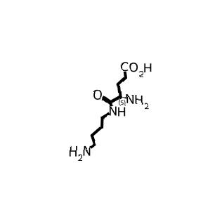 NCCCCNC(=O)[C@@H](N)CCC(=O)O